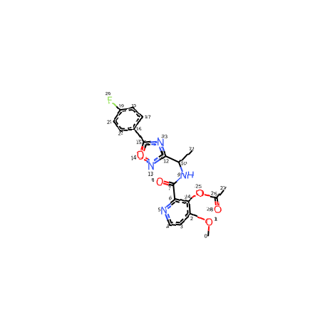 COc1ccnc(C(=O)NC(C)c2noc(-c3ccc(F)cc3)n2)c1OC(C)=O